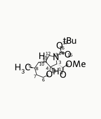 COC(=O)[C@@H]1[C@@H]2OCC[C@@H](C)C[C@H]2CN1C(=O)OC(C)(C)C